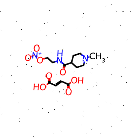 CN1CCC(C(=O)NCCO[N+](=O)[O-])CC1.O=C(O)C=CC(=O)O